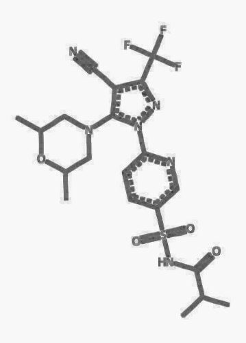 CC1CN(c2c(C#N)c(C(F)(F)F)nn2-c2ccc(S(=O)(=O)NC(=O)C(C)C)cn2)CC(C)O1